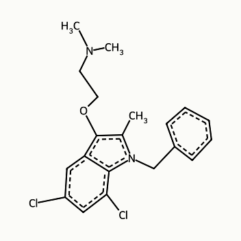 Cc1c(OCCN(C)C)c2cc(Cl)cc(Cl)c2n1Cc1ccccc1